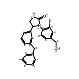 O=C1NCC(c2cccc(Cc3ccccc3)c2)N1c1ccc(CO)cc1F